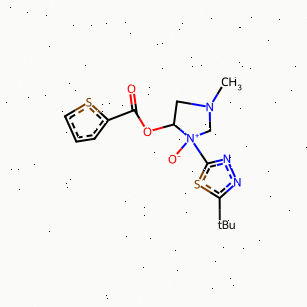 CN1CC(OC(=O)c2cccs2)[N+]([O-])(c2nnc(C(C)(C)C)s2)C1